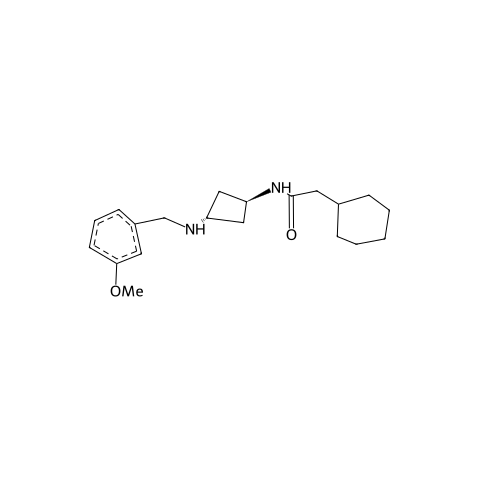 COc1cccc(CN[C@H]2C[C@H](NC(=O)CC3CCCCC3)C2)c1